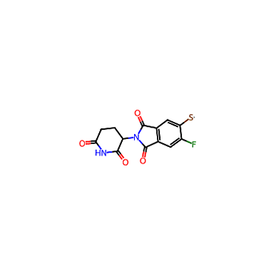 O=C1CCC(N2C(=O)c3cc(F)c([S])cc3C2=O)C(=O)N1